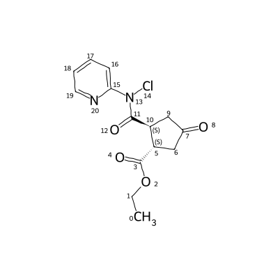 CCOC(=O)[C@H]1CC(=O)C[C@@H]1C(=O)N(Cl)c1ccccn1